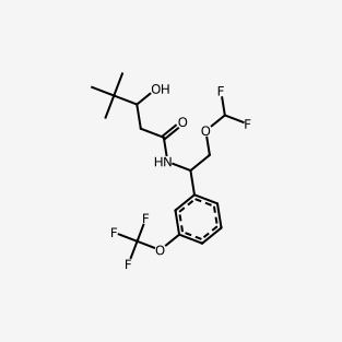 CC(C)(C)C(O)CC(=O)NC(COC(F)F)c1cccc(OC(F)(F)F)c1